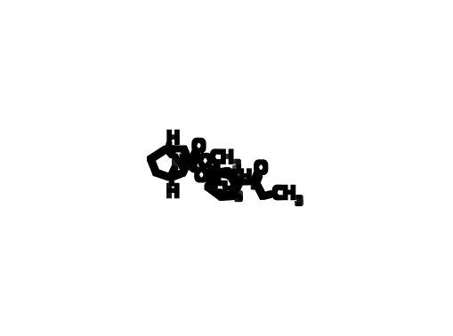 CCC(=O)c1cccc(O[C@H]2C[C@H]3CC[C@@H](C2)N3C(=O)OC(C)(C)C)c1